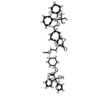 CN(CCn1c(=O)oc2cc(CO[Si](c3ccccc3)(c3ccccc3)C(C)(C)C)ccc21)[C@H]1CC[C@H](OC(=O)C(O)(c2cccs2)c2cccs2)CC1